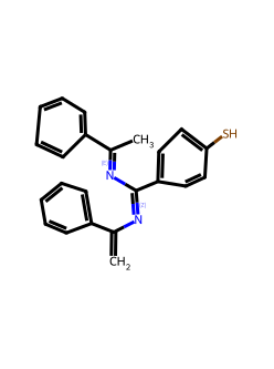 C=C(/N=C(\N=C(/C)c1ccccc1)c1ccc(S)cc1)c1ccccc1